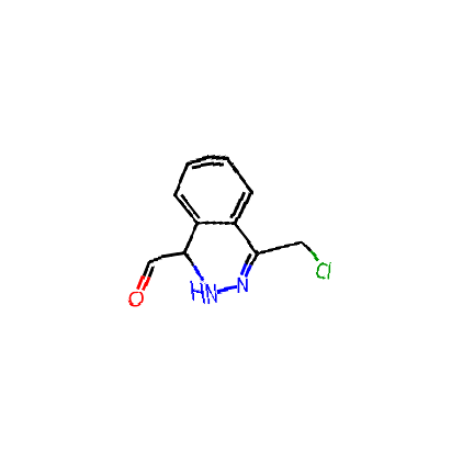 O=CC1NN=C(CCl)c2ccccc21